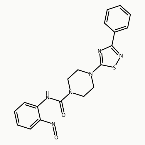 O=Nc1ccccc1NC(=O)N1CCN(c2nc(-c3ccccc3)ns2)CC1